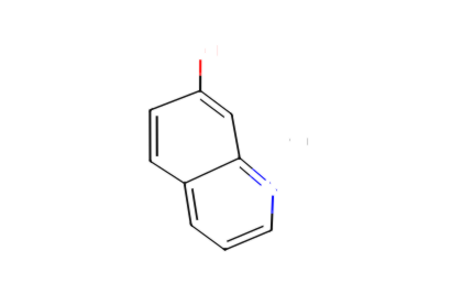 Oc1ccc2cccnc2c1.[Cu]